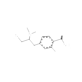 CN(C)C(CN)Cc1ccc(C(N)=O)c(F)c1